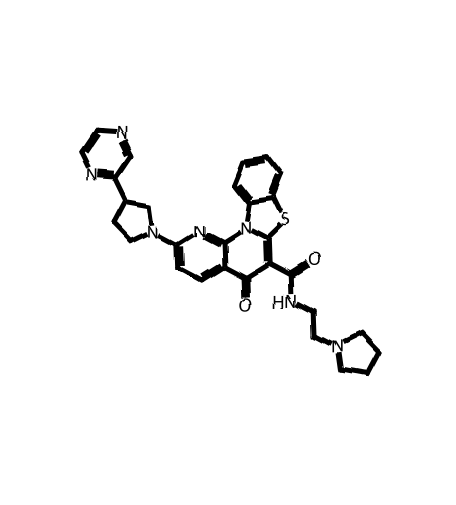 O=C(NCCN1CCCC1)c1c(=O)c2ccc(N3CCC(c4cnccn4)C3)nc2n2c1sc1ccccc12